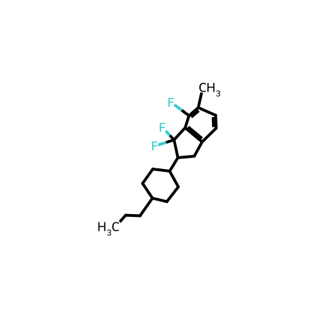 CCCC1CCC(C2Cc3ccc(C)c(F)c3C2(F)F)CC1